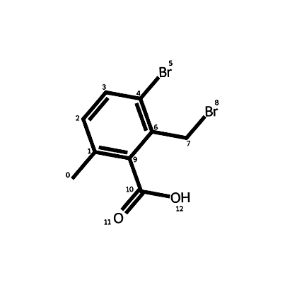 Cc1ccc(Br)c(CBr)c1C(=O)O